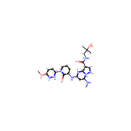 CNc1cc(Nc2cccn(-c3ccc(OC)nn3)c2=O)nc2c(C(=O)NCC(C)(C)O)cnn12